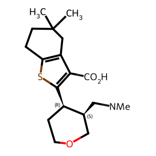 CNC[C@H]1COCC[C@H]1c1sc2c(c1C(=O)O)CC(C)(C)CC2